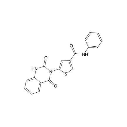 O=C(Nc1ccccc1)c1csc(-n2c(=O)[nH]c3ccccc3c2=O)c1